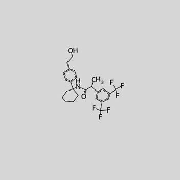 C[C@H](C(=O)NC1(c2ccc(CCO)cc2)CCCCC1)c1cc(C(F)(F)F)cc(C(F)(F)F)c1